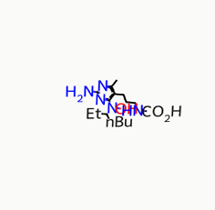 CCCCC(CC)N(O)c1nc(N)nc(C)c1CCCNC(=O)O